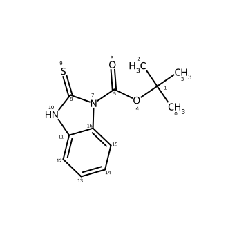 CC(C)(C)OC(=O)n1c(=S)[nH]c2ccccc21